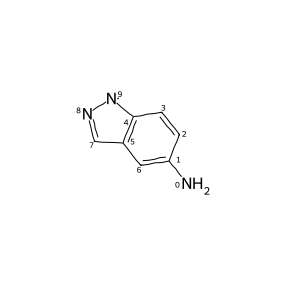 Nc1ccc2c(c1)C=N[N]2